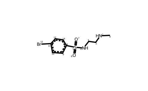 CNCCNS(=O)(=O)c1ccc(Br)cc1